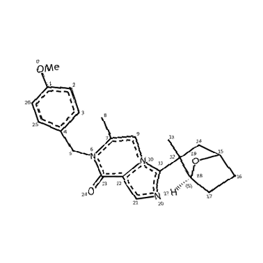 COc1ccc(Cn2c(C)cn3c(C4(C)CC5CC[C@@H]4O5)ncc3c2=O)cc1